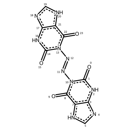 O=c1[nH]c2nc[nH]c2c(=O)n1N=Nn1c(=O)[nH]c2nc[nH]c2c1=O